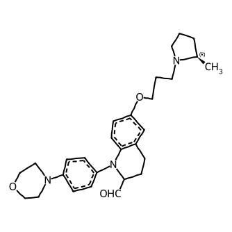 C[C@@H]1CCCN1CCCOc1ccc2c(c1)CCC(C=O)N2c1ccc(N2CCOCC2)cc1